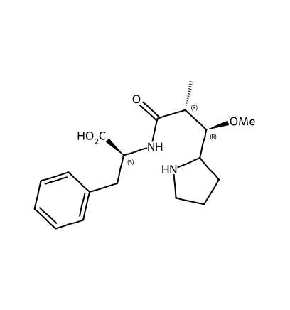 CO[C@@H](C1CCCN1)[C@@H](C)C(=O)N[C@@H](Cc1ccccc1)C(=O)O